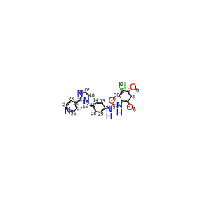 COc1cc(OC)c(NC(=O)Nc2ccc(Cn3ccnc3-c3ccncc3)cc2)cc1Cl